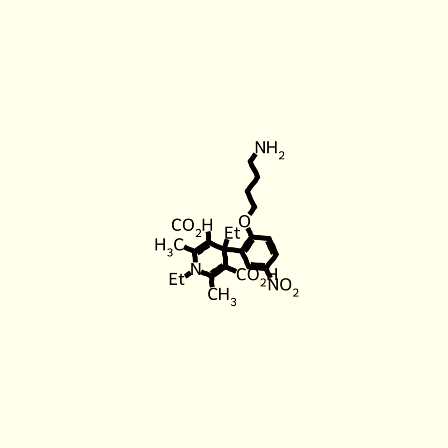 CCN1C(C)=C(C(=O)O)C(CC)(c2cc([N+](=O)[O-])ccc2OCCCCN)C(C(=O)O)=C1C